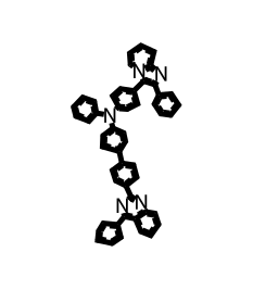 c1ccc(-c2nc3ccccn3c2-c2ccc(N(c3ccccc3)c3ccc(-c4ccc(-c5nc(-c6ccccc6)c6ccccc6n5)cc4)cc3)cc2)cc1